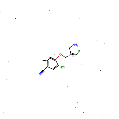 Cc1cc(OC/C(=C/F)CN)ccc1C#N.Cl